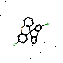 Clc1ccc2c(c1)SC1=C(C=CCC1)C21c2ccccc2-c2cc(Br)ccc21